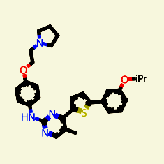 Cc1cnc(Nc2ccc(OCCN3CCCC3)cc2)nc1-c1ccc(-c2cccc(OC(C)C)c2)s1